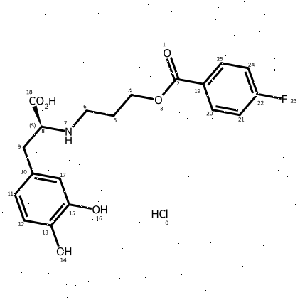 Cl.O=C(OCCCN[C@@H](Cc1ccc(O)c(O)c1)C(=O)O)c1ccc(F)cc1